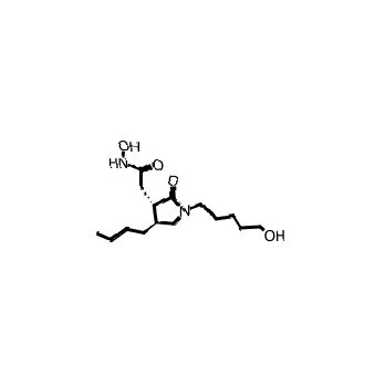 CCCC[C@@H]1CN(CCCCCO)C(=O)[C@H]1CC(=O)NO